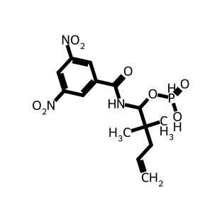 C=CCC(C)(C)C(NC(=O)c1cc([N+](=O)[O-])cc([N+](=O)[O-])c1)O[PH](=O)O